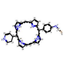 S=C=Nc1ccc(-c2c3nc(cc4ccc([nH]4)c(C4C=CN=CC4)c4nc(cc5ccc2[nH]5)C=C4)C=C3)cc1